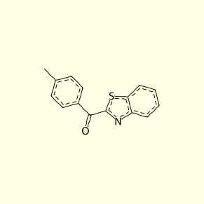 Cc1ccc(C(=O)c2nc3ccccc3s2)cc1